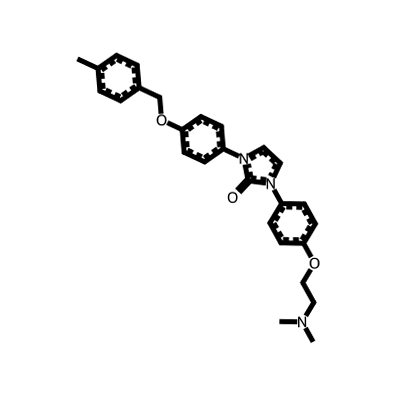 Cc1ccc(COc2ccc(-n3ccn(-c4ccc(OCCN(C)C)cc4)c3=O)cc2)cc1